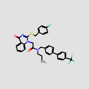 CCCN(Cc1ccc(-c2ccc(C(F)(F)F)cc2)cc1)C(=O)Cn1c(SCc2ccc(F)cc2)nc(=O)c2ccccc21